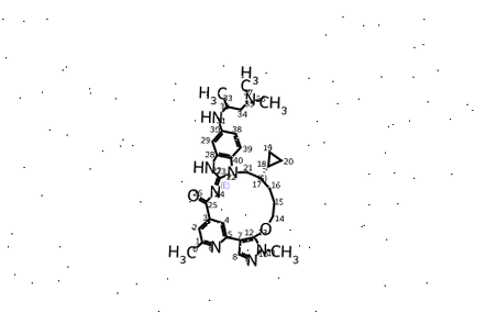 Cc1cc2cc(n1)-c1cnn(C)c1OCCC[C@@H](C1CC1)CN1/C(=N/C2=O)Nc2cc(NC(C)CN(C)C)ccc21